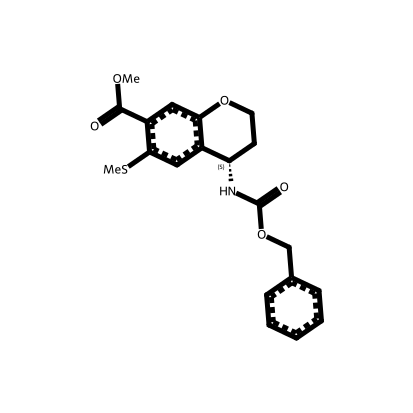 COC(=O)c1cc2c(cc1SC)[C@@H](NC(=O)OCc1ccccc1)CCO2